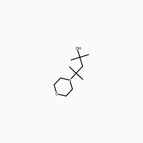 CC(C)(O)CC(C)(C)N1CCOCC1